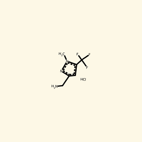 Cl.Cn1nc(CN)cc1C(F)(F)F